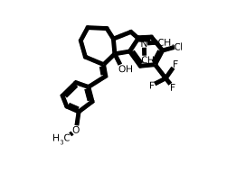 COc1cccc(C=C2CCCCC(CN(C)C)C2(O)c2ccc(Cl)c(C(F)(F)F)c2)c1